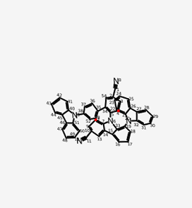 N#Cc1ccc(-n2c3ccc(C#N)cc3c3cccc(-n4c5ccccc5c5ccccc54)c32)c(-c2ccc(-n3c4ccccc4c4ccccc43)cc2)c1